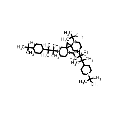 CC(C)N1CCN(C(C)(C)C(C)(C)C2CCC(C(C)(C)C)CC2)CC12CC21CN(C(C)(C)C(C)(C)C2CCN(C(C)(C)C)CC2)CCN1C(C)(C)C